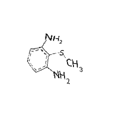 CSc1c(N)cccc1N